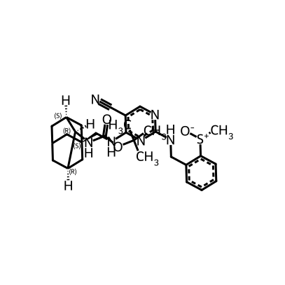 C[S+]([O-])c1ccccc1CNc1ncc(C#N)c(NC[C@]23CC4C[C@H](C2)[C@H](NC(=O)OC(C)(C)C)[C@@H](C4)C3)n1